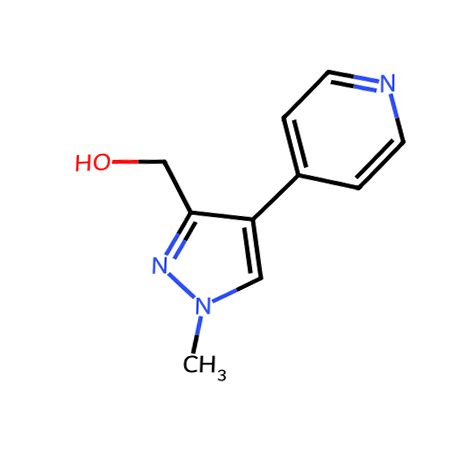 Cn1cc(-c2ccncc2)c(CO)n1